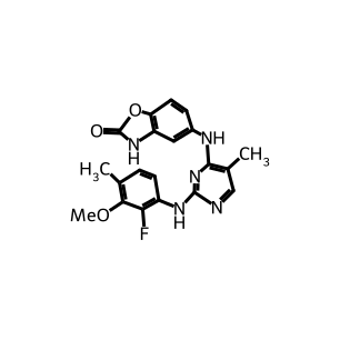 COc1c(C)ccc(Nc2ncc(C)c(Nc3ccc4oc(=O)[nH]c4c3)n2)c1F